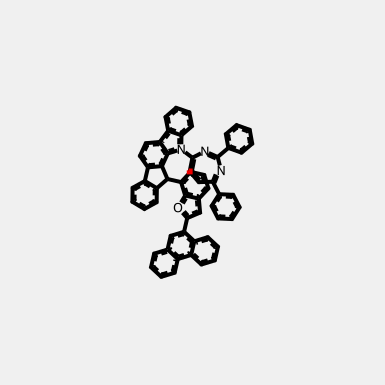 C1=CC(c2ccccc2)=NC(c2ccccc2)=NC=1n1c2ccccc2c2ccc3c(c21)C(c1cccc2cc(-c4cc5ccccc5c5ccccc45)oc12)c1ccccc1-3